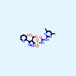 Cc1cc(C)nc(NC(=O)NS(=O)(=O)c2[nH]nc(-c3ccccn3)c2C(=O)O)n1